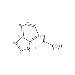 C=C(C)C(=O)O.c1ccc2occc2c1